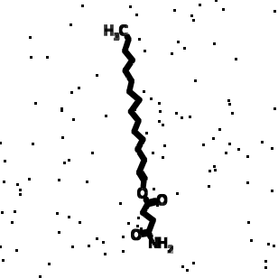 CCCCCCCCCCCCCCC=COC(=O)CCC(N)=O